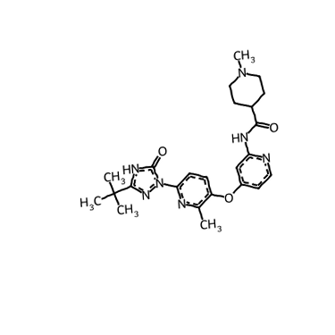 Cc1nc(-n2nc(C(C)(C)C)[nH]c2=O)ccc1Oc1ccnc(NC(=O)C2CCN(C)CC2)c1